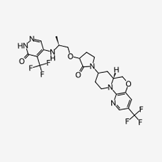 C[C@@H](COC1CCN(C2CCN3c4ncc(C(F)(F)F)cc4OC[C@H]3C2)C1=O)Nc1cn[nH]c(=O)c1C(F)(F)F